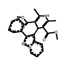 COC(=O)C1=C(C)NC(C)=C(C(=O)OC)C1c1c(-c2ccccc2)nn2ccccc12